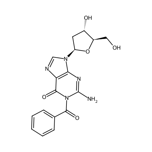 Nc1nc2c(ncn2[C@H]2C[C@H](O)[C@@H](CO)O2)c(=O)n1C(=O)c1ccccc1